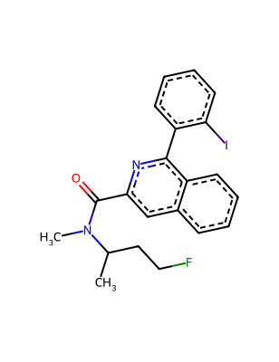 CC(CCF)N(C)C(=O)c1cc2ccccc2c(-c2ccccc2I)n1